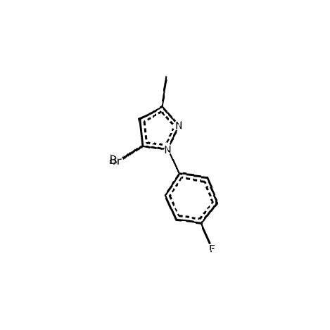 Cc1cc(Br)n(-c2ccc(F)cc2)n1